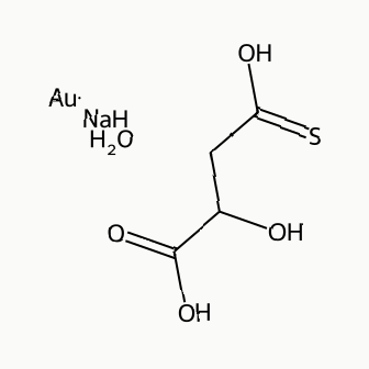 O.O=C(O)C(O)CC(O)=S.[Au].[NaH]